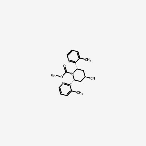 Cc1cccnc1[C@H]1C[C@H](C#N)C[C@@H](c2ncccc2C)N1C(=O)OC(C)(C)C